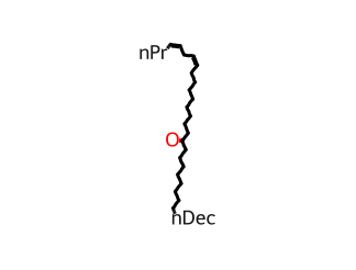 CCC/C=C\C/C=C\CCCCCCCCC(=O)CCCCCCCCCCCCCCCCCC